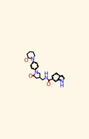 O=C(NCC1CC(=O)N(c2ccc(N3CCCCC3=O)cc2)C1)c1ccc2cc[nH]c2c1